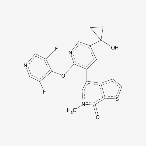 Cn1cc(-c2cc(C3(O)CC3)cnc2Oc2c(F)cncc2F)c2ccsc2c1=O